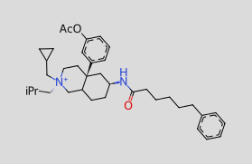 CC(=O)Oc1cccc([C@]23CC[N@+](CC(C)C)(CC4CC4)CC2CC[C@H](NC(=O)CCCCCc2ccccc2)C3)c1